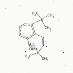 COc1cccc([Si](C)(C)C)c1/C=C\[Si](C)(C)C